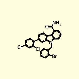 NC(=O)c1cccc2c1c1[c]cc(-c3ccc(Cl)cc3Cl)cc1n2Cc1ccccc1Br